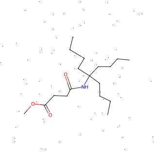 CCCCC(CCCC)(CCCC)NC(=O)CCC(=O)OC